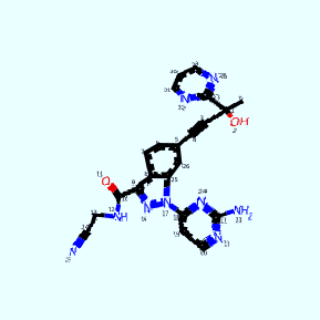 CC(O)(C#Cc1ccc2c(C(=O)NCC#N)nn(-c3ccnc(N)n3)c2c1)c1ncccn1